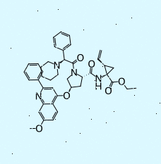 C=C[C@H]1C[C@]1(NC(=O)[C@@H]1C[C@@H](Oc2cc(-c3ccccc3)nc3cc(OC)ccc23)CN1C(=O)[C@H](c1ccccc1)N1CCCCC1)C(=O)OCC